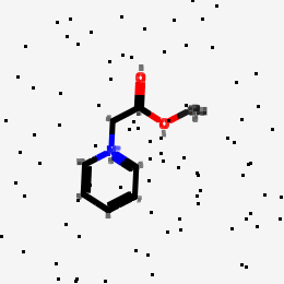 CC(C)(C)OC(=O)C[n+]1ccccc1